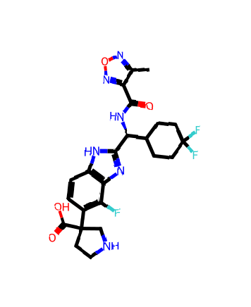 Cc1nonc1C(=O)N[C@H](c1nc2c(F)c(C3(C(=O)O)CCNC3)ccc2[nH]1)C1CCC(F)(F)CC1